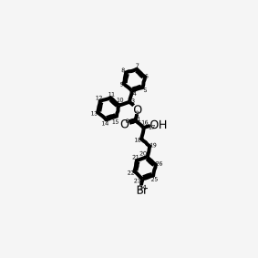 O=C(OC(c1ccccc1)c1ccccc1)C(O)CCc1ccc(Br)cc1